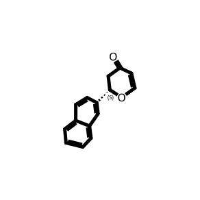 O=C1C=CO[C@H](c2ccc3ccccc3c2)C1